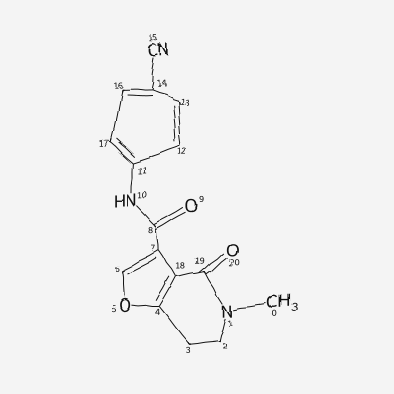 CN1CCc2occ(C(=O)Nc3ccc(C#N)cc3)c2C1=O